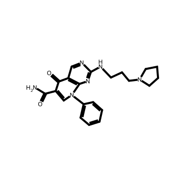 NC(=O)c1cn(-c2ccccc2)c2nc(NCCCN3CCCC3)ncc2c1=O